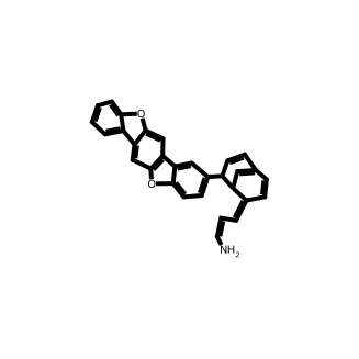 N/C=C\C=C1\C=CC2=CC1C(c1ccc3oc4cc5c(cc4c3c1)oc1ccccc15)C=C2